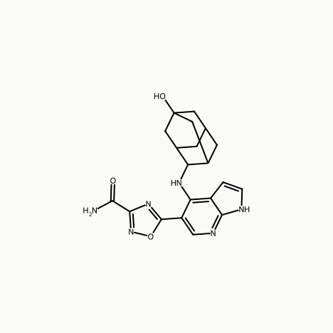 NC(=O)c1noc(-c2cnc3[nH]ccc3c2NC2C3CC4CC2CC(O)(C4)C3)n1